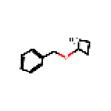 c1ccc(COC2CC[SiH2]2)cc1